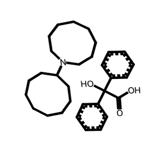 C1CCCCC(N2CCCCCCCC2)CCC1.O=C(O)C(O)(c1ccccc1)c1ccccc1